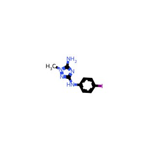 Cn1nc(Nc2ccc(I)cc2)nc1N